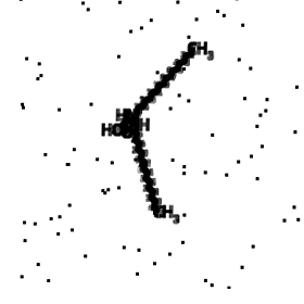 CCCCCCCCCCCCCCCCCCNN(CC(=O)O)NCCCCCCCCCCCCCCCCCC